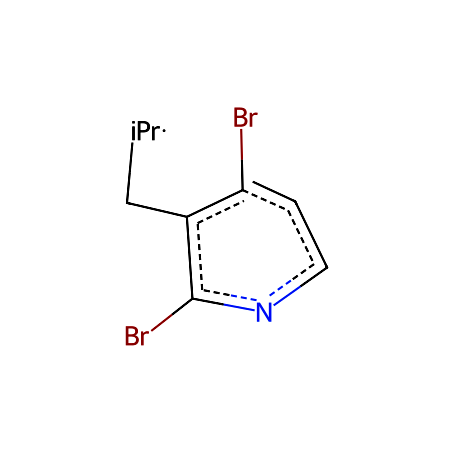 C[C](C)Cc1c(Br)ccnc1Br